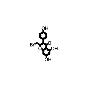 O=c1c(-c2ccc(O)cc2)c(CBr)oc2cc(O)cc(O)c12